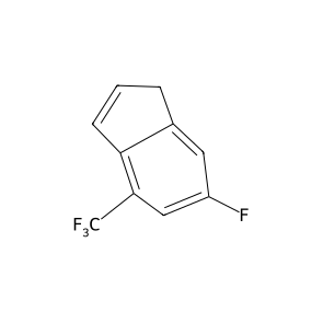 Fc1cc2c(c(C(F)(F)F)c1)C=CC2